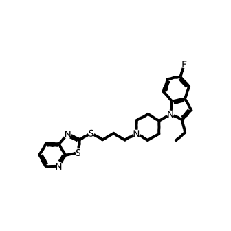 CCc1cc2cc(F)ccc2n1C1CCN(CCCSc2nc3cccnc3s2)CC1